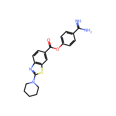 N=C(N)c1ccc(OC(=O)c2ccc3nc(N4CCCCC4)sc3c2)cc1